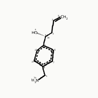 C=CC[C@@H](O)c1ccc(CN)cc1